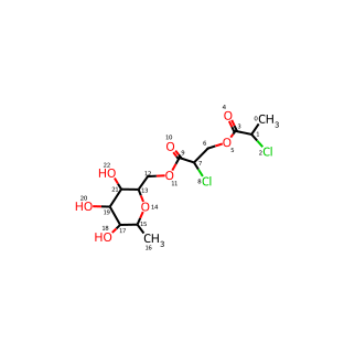 CC(Cl)C(=O)OCC(Cl)C(=O)OCC1OC(C)C(O)C(O)C1O